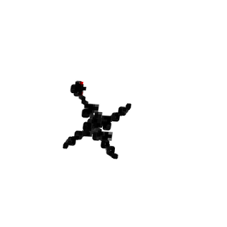 C#CCOCCOCCNC(=O)CCC(CCC(=O)NCCOCCOCC#C)(CCC(=O)NCCOCCOCC#C)NC(=O)CCCC(=O)NCCCCCCOP(=O)(SC)C(C)(C)C